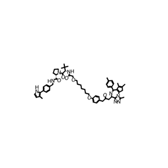 CC1=C(C)C2=C(C1)n1c(C)nnc1C(CC(=O)Cc1ccc(OCCCCCCCOCC(=O)N[C@H](C(=O)N3CCC[C@H]3C(=O)NCc3ccc(-c4[nH]ccc4C)cc3)C(C)(C)C)cc1)N=C2c1ccc(C)cc1